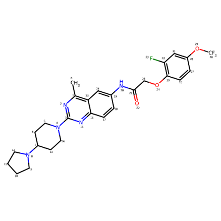 Cc1nc(N2CCC(N3CCCC3)CC2)nc2ccc(NC(=O)COc3ccc(OC(F)(F)F)cc3F)cc12